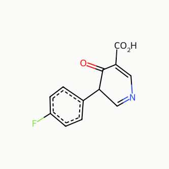 O=C(O)C1=CN=CC(c2ccc(F)cc2)C1=O